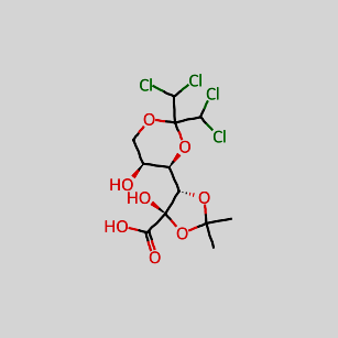 CC1(C)O[C@@H]([C@@H]2OC(C(Cl)Cl)(C(Cl)Cl)OC[C@@H]2O)[C@@](O)(C(=O)O)O1